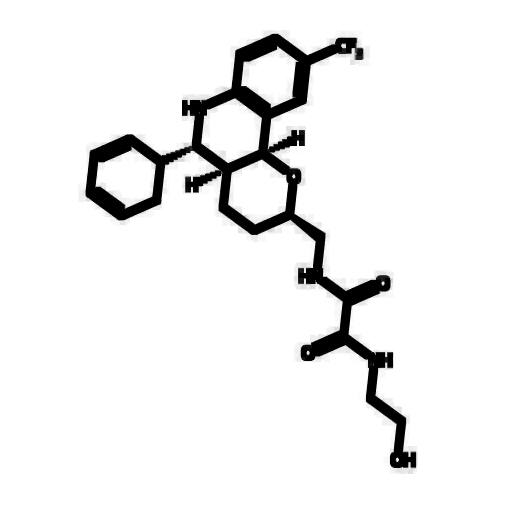 O=C(NCCO)C(=O)NC[C@H]1CC[C@@H]2[C@H](O1)c1cc(C(F)(F)F)ccc1N[C@H]2C1C=CC=CC1